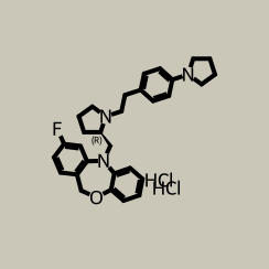 Cl.Cl.Fc1ccc2c(c1)N(C[C@H]1CCCN1CCc1ccc(N3CCCC3)cc1)c1ccccc1OC2